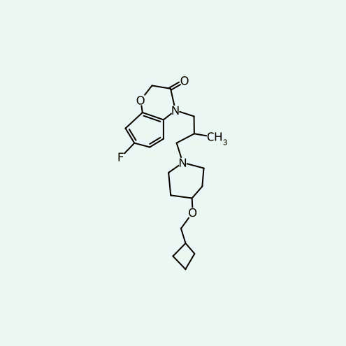 CC(CN1CCC(OCC2CCC2)CC1)CN1C(=O)COc2cc(F)ccc21